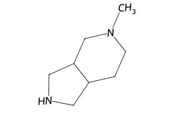 CN1CCC2CNCC2C1